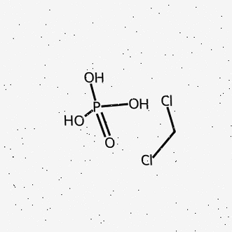 ClCCl.O=P(O)(O)O